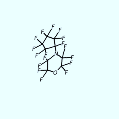 FC1(F)OC(F)(F)C(F)(F)N(C2(F)C(F)(F)C(F)(F)C(F)(F)C2(F)F)C1(F)F